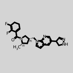 C[C@H]1C[C@@H](Cn2ccc3cc(C4C=NNC4)cnc32)CN1C(=O)C1=CCCC(F)=C1F